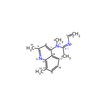 C=C/N=C(/C)N(C)c1cc(C)nc2c(C)cccc12